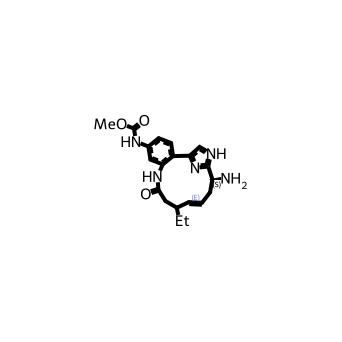 CCC1/C=C/C[C@H](N)c2nc(c[nH]2)-c2ccc(NC(=O)OC)cc2NC(=O)C1